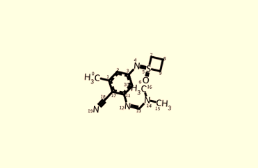 Cc1cc(N=S2(=O)CCC2)cc(/N=C\N(C)C)c1C#N